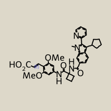 COc1cc(NC(=O)C2(NC(=O)c3ccc4c(C5CCCC5)c(-c5ccccn5)n(C)c4c3)CCC2)cc(OC)c1/C=C/C(=O)O